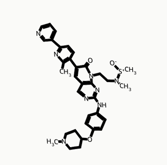 Cc1nc(-c2cccnc2)ccc1-c1cc2cnc(Nc3ccc(OC4CCN(C)CC4)cc3)nc2n(CCN(C)[S+](C)[O-])c1=O